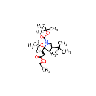 CCOC(=O)C=C[C@@]1(O[SiH](C)C)C[C@H](C(C)(C)C)CN1C(=O)OC(C)(C)C